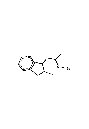 CCCCOC(C)OC1c2ccccc2CC1Br